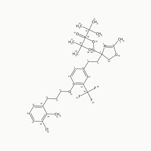 CC1=NC(CCc2ccc(OCCCc3cccc(Cl)c3C)c(C(F)(F)F)c2)(COP(=O)(C(C)(C)C)C(C)(C)C)CO1